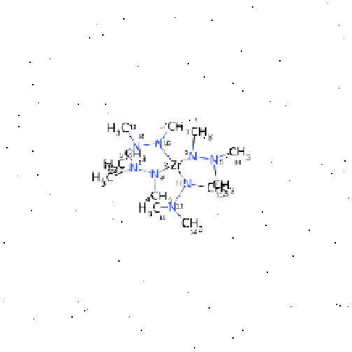 CN(C)[N](C)[Zr]([N](C)N(C)C)([N](C)N(C)C)[N](C)N(C)C